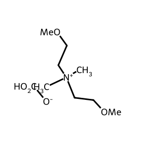 COCC[N+](C)(C)CCOC.O=C([O-])O